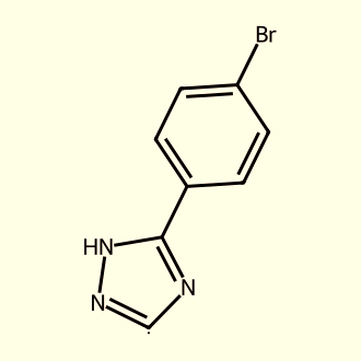 Brc1ccc(-c2n[c]n[nH]2)cc1